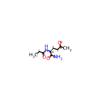 CCC(=O)N[C@@H](CCC(C)=O)C(N)=O